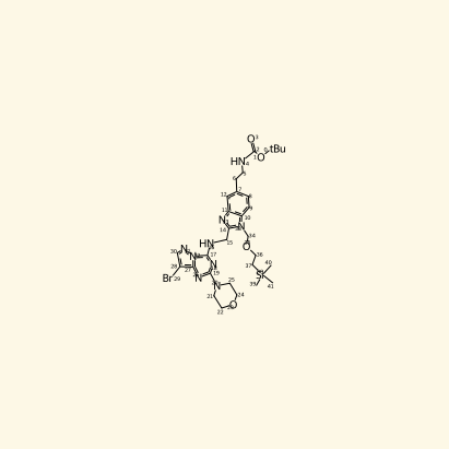 CC(C)(C)OC(=O)NCCc1ccc2c(c1)nc(CNc1nc(N3CCOCC3)nc3c(Br)cnn13)n2COCC[Si](C)(C)C